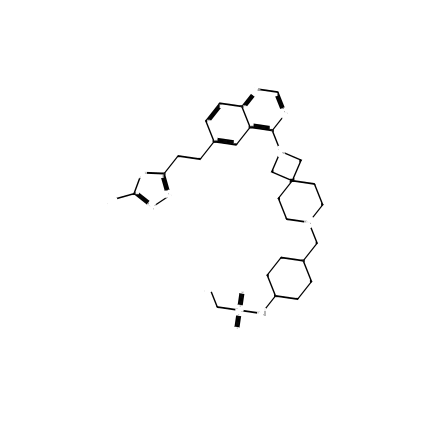 CCS(=O)(=O)NC1CCC(CN2CCC3(CC2)CN(c2ncnc4ccc(CCc5nnc(C)o5)cc24)C3)CC1